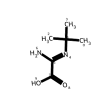 CC(C)(C)N=C(N)C(=O)O